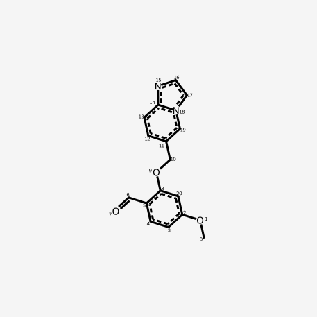 COc1ccc(C=O)c(OCc2ccc3nccn3c2)c1